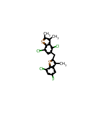 Cc1sc2c(Cl)cc(Cc3sc4c(Cl)cc(F)cc4c3C)c(Cl)c2c1C